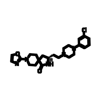 O=C1N[C@@H](CCN2CCN(c3cccc(Cl)c3)CC2)CC12CCN(c1ncco1)CC2